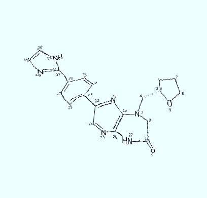 O=C1CN(C[C@@H]2CCCO2)c2nc(-c3ccc(-c4nnc[nH]4)cc3)cnc2N1